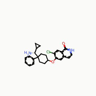 N[C@H](C1CC1)C1(c2ccccc2)CCC(Oc2cc3cc[nH]c(=O)c3cc2Cl)CC1